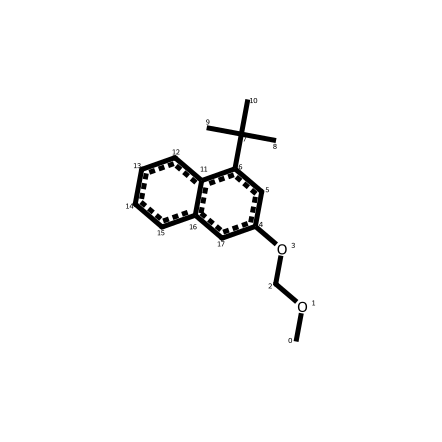 COCOc1cc(C(C)(C)C)c2ccccc2c1